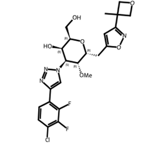 CO[C@@H]1[C@@H](n2cc(-c3ccc(Cl)c(F)c3F)nn2)[C@@H](O)[C@@H](CO)O[C@@H]1Cc1cc(C2(C)COC2)no1